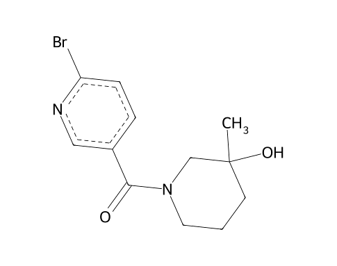 CC1(O)CCCN(C(=O)c2ccc(Br)nc2)C1